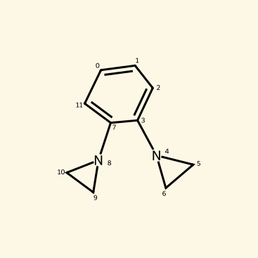 c1ccc(N2CC2)c(N2CC2)c1